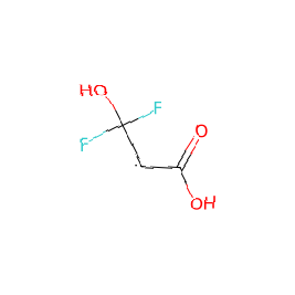 O=C(O)[CH]C(O)(F)F